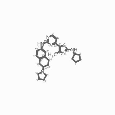 Cc1nc(NC2CCCC2)sc1-c1ccnc(Nc2ccc3c(c2)CCC(N2CCCC2)C3)n1